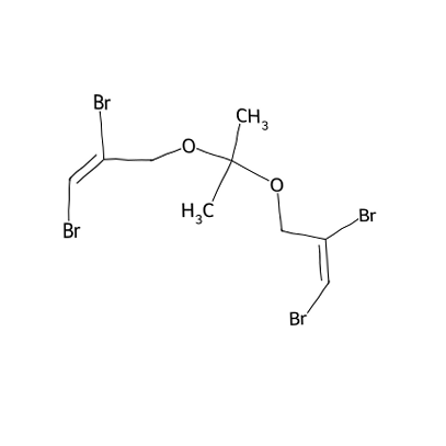 CC(C)(OC/C(Br)=C\Br)OC/C(Br)=C\Br